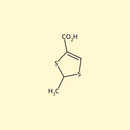 CC1SC=C(C(=O)O)S1